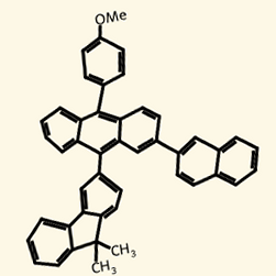 COc1ccc(-c2c3ccccc3c(-c3ccc4c(c3)-c3ccccc3C4(C)C)c3cc(-c4ccc5ccccc5c4)ccc23)cc1